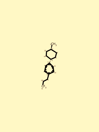 C[C@H]1CC[C@H](c2ccc(CCC(F)(F)F)cc2)CC1